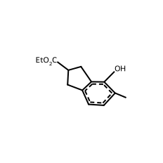 CCOC(=O)C1Cc2ccc(C)c(O)c2C1